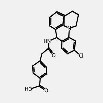 O=C(Cc1ccc(C(=O)O)cc1)NC(c1ccccc1)c1ccc(Cl)cc1N1CCCCC1